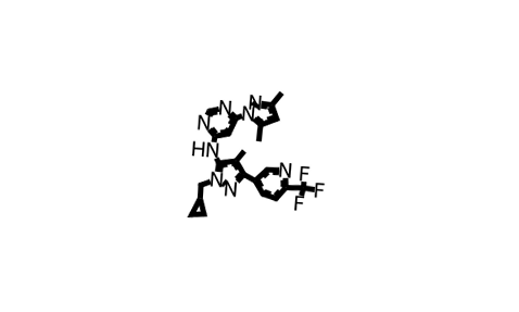 Cc1cc(C)n(-c2cc(Nc3c(C)c(-c4ccc(C(F)(F)F)nc4)nn3CC3CC3)ncn2)n1